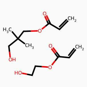 C=CC(=O)OCC(C)(C)CO.C=CC(=O)OCCO